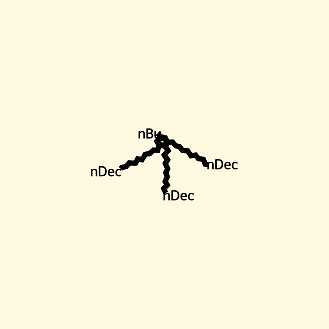 [CH2]CCCc1cc(CCCCCCCCCCCCCCCCCCCC)c(CCCCCCCCCCCCCCCCCCCC)c(CCCCCCCCCCCCCCCCCCCC)c1